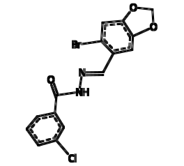 O=C(N/N=C/c1cc2c(cc1Br)OCO2)c1cccc(Cl)c1